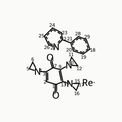 O=C1C=C(N2CC2)C(=O)C(N2CC2)=C1N1CC1.[Re].c1ccc(-c2ccccn2)cc1